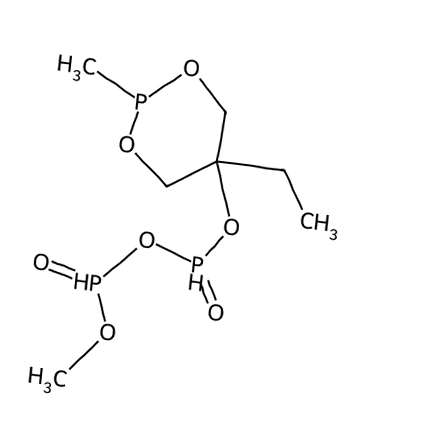 CCC1(O[PH](=O)O[PH](=O)OC)COP(C)OC1